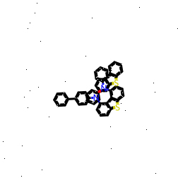 c1ccc(-c2ccc(N(c3ccc4c(c3)sc3ccccc34)c3cccc4sc5cccc(N(c6ccccc6)c6ccccc6)c5c34)cc2)cc1